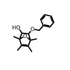 CC1=C(C)C2(C)OC1(C)C(O)C2OCc1ccccc1